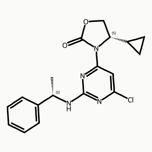 C[C@H](Nc1nc(Cl)cc(N2C(=O)OC[C@@H]2C2CC2)n1)c1ccccc1